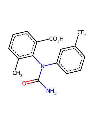 Cc1cccc(C(=O)O)c1N(C(N)=O)c1cccc(C(F)(F)F)c1